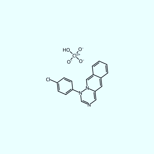 Clc1ccc(N2C=NC=C3C=c4ccccc4=CN32)cc1.[O-][Cl+3]([O-])([O-])O